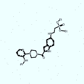 CCOP(=O)(CCNc1ccc2[nH]c(C(=O)N3CCN(c4ncccc4NC(C)C)CC3)cc2c1)OCC